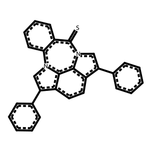 S=c1c2ccccc2n2cc(-c3ccccc3)c3ccc4c(-c5ccccc5)cn1c4c32